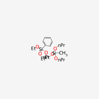 CCCO[Si](C)(OCCC)OCCC.CCO[Si](OCC)(OCC)c1ccccc1